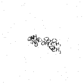 COCCCCC(O)(c1ccccc1Oc1ccccc1C)C1CCCN(C(=O)N2CCC(N)(CO)C2)C1